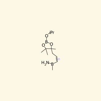 CB(N)/C=C\CC1(C)OB(OC(C)C)OC1(C)C